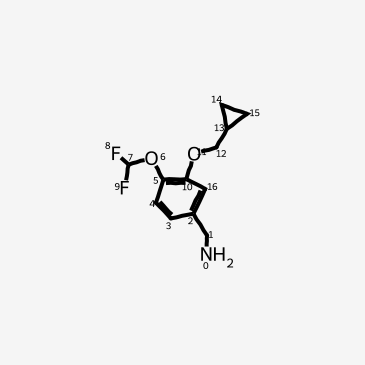 NCc1ccc(OC(F)F)c(OCC2CC2)c1